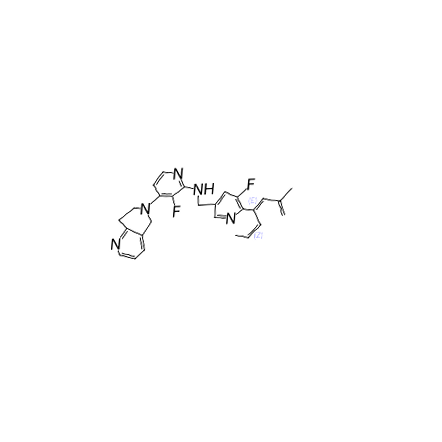 C=C(C)/C=C(\C=C/C)c1ncc(CNc2nccc(N3CCc4ncccc4C3)c2F)cc1F